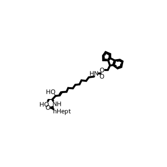 CCCCCCCC(=O)N[C@@H](CO)[C@H](O)/C=C/CCCCCCCCCNC(=O)OCC1c2ccccc2-c2ccccc21